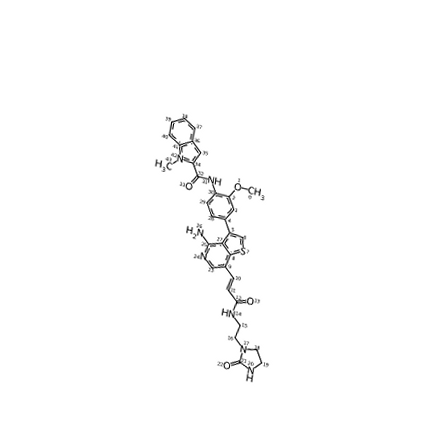 COc1cc(-c2csc3c(C=CC(=O)NCCN4CCNC4=O)cnc(N)c23)ccc1NC(=O)c1cc2ccccc2n1C